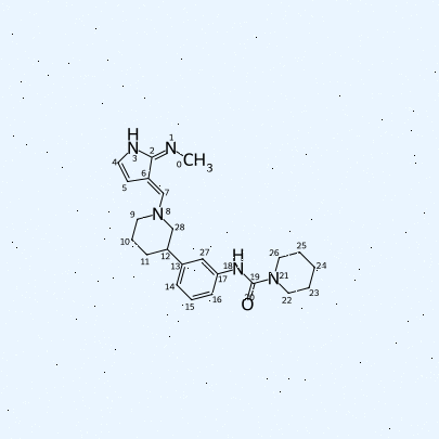 C/N=C1/NC=C/C1=C\N1CCCC(c2cccc(NC(=O)N3CCCCC3)c2)C1